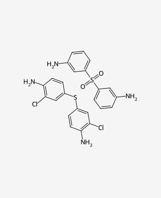 Nc1ccc(Sc2ccc(N)c(Cl)c2)cc1Cl.Nc1cccc(S(=O)(=O)c2cccc(N)c2)c1